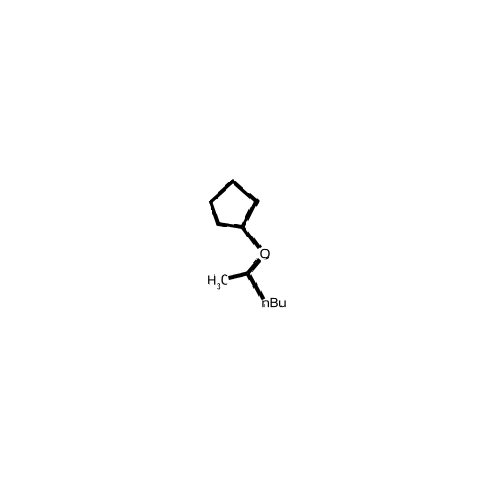 [CH2]CCCC(C)OC1CCCC1